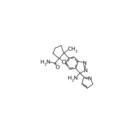 CC1(c2ccc3c(c2)N=NC3(N)C2=NCC=C2)CCCC1(Cl)C(N)=O